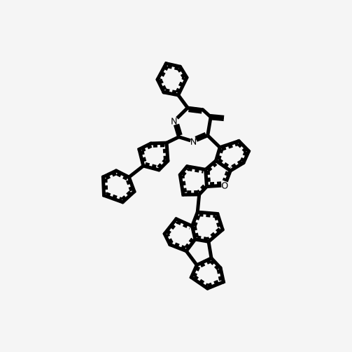 C=C1C=C(c2ccccc2)N=C(c2ccc(-c3ccccc3)cc2)N=C1c1cccc2oc3c(-c4ccc5c6c(cccc46)-c4ccccc4-5)cccc3c12